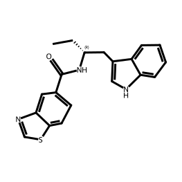 CC[C@H](Cc1c[nH]c2ccccc12)NC(=O)c1ccc2scnc2c1